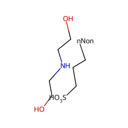 CCCCCCCCCCCCS(=O)(=O)O.OCCNCCO